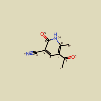 CC(=O)c1cc(C#N)c(=O)[nH]c1C